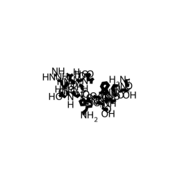 CSCC[C@H](NC(=O)[C@@H](NC(=O)[C@H](CCCNC(=N)N)NC(=O)[C@H](CC(=O)O)NC(=O)CNC(=O)[C@@H]1CCCN1C(=O)[C@H](CCCCN)NC(=O)[C@H](Cc1c[nH]c2ccccc12)NC(=O)[C@H](CC(=O)O)NC(=O)[C@@H](NC(=O)[C@@H]1CCCN1C(=O)[C@@H](NC(=O)[C@H](C)N)[C@@H](C)O)C(C)C)C(C)C)C(=O)N[C@H](C(=O)O)C(C)C